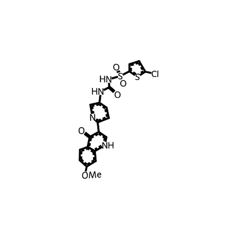 COc1ccc2c(=O)c(-c3ccc(NC(=O)NS(=O)(=O)c4ccc(Cl)s4)cn3)c[nH]c2c1